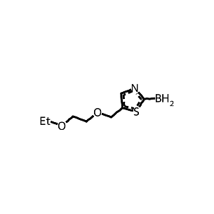 Bc1ncc(COCCOCC)s1